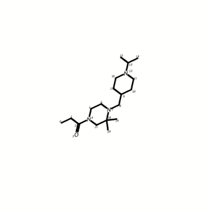 CCC(=O)N1CCN(CC2CCN(C(C)C)CC2)C(C)(C)C1